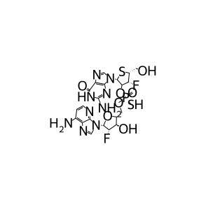 Nc1nc2c(ncn2[C@@H]2S[C@H](CO)[C@H](F)C2OP(=O)(S)OC[C@H]2O[C@@H](n3cnc4c(N)ccnc43)[C@@H](F)[C@@H]2O)c(=O)[nH]1